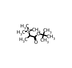 CC(C(=O)OC(C)(C)C)[Si](C)(C)C